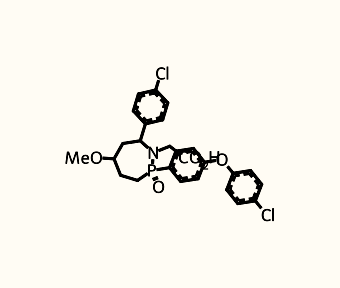 COC1CCP(=O)(c2ccc(Oc3ccc(Cl)cc3)cc2)N(CC(=O)O)C(c2ccc(Cl)cc2)C1